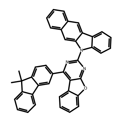 CC1(C)c2ccccc2-c2cc(-c3nc(-n4c5ccccc5c5cc6ccccc6cc54)nc4oc5ccccc5c34)ccc21